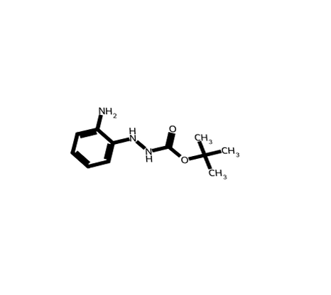 CC(C)(C)OC(=O)NNc1ccccc1N